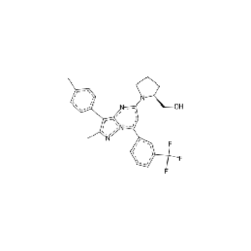 Cc1ccc(-c2c(C)nn3c(-c4cccc(C(F)(F)F)c4)cc(N4CCC[C@H]4CO)nc23)cc1